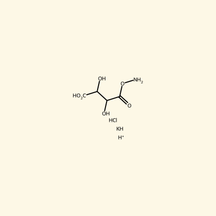 Cl.NOC(=O)C(O)C(O)C(=O)O.[H+].[KH]